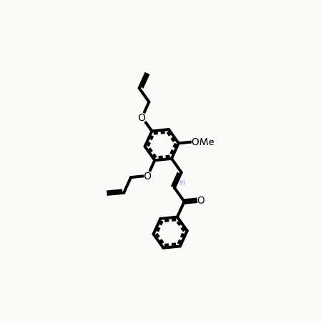 C=CCOc1cc(OC)c(/C=C/C(=O)c2ccccc2)c(OCC=C)c1